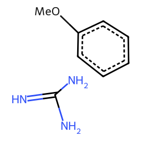 COc1ccccc1.N=C(N)N